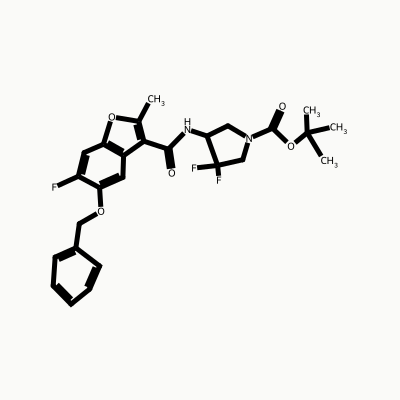 Cc1oc2cc(F)c(OCc3ccccc3)cc2c1C(=O)NC1CN(C(=O)OC(C)(C)C)CC1(F)F